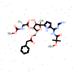 CCCCOC(C)(C)C(=O)N/C(=N/C=N)c1ccc([C@]2(C#N)O[C@H](COC(=O)Cc3ccccc3)[C@@H](OC(=O)[C@H](NC(=O)OC(C)(C)C)C(C)C)[C@H]2O)[nH]1